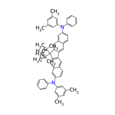 Cc1cc(C)cc(N(c2ccccc2)c2ccc3cc4c(cc3c2)C([Si](C)(C)C)([Si](C)(C)C)c2cc3cc(N(c5ccccc5)c5cc(C)cc(C)c5)ccc3cc2-4)c1